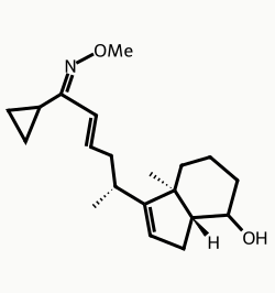 CO/N=C(\C=C\C[C@@H](C)C1=CC[C@H]2C(O)CCC[C@]12C)C1CC1